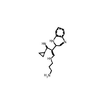 N=C(/C(=C\NCCCN)C1C=Nc2ccccc2N1)C1CC1